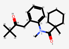 CN(C(=O)C1(C)CCCCC1)c1ccccc1CC(=O)C(C)(C)C